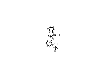 O=C(O[C@H]1CCCC[C@@H]1NC1CC1)[C@@H](O)c1ccccc1